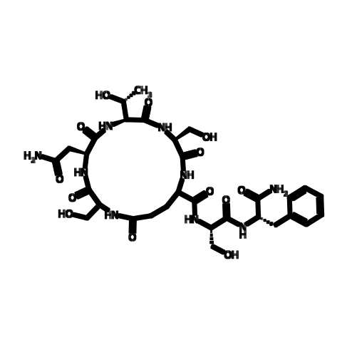 C[C@@H](O)[C@@H]1NC(=O)[C@H](CC(N)=O)NC(=O)C(CO)NC(=O)CCC(C(=O)N[C@@H](CO)C(=O)N[C@@H](Cc2ccccc2)C(N)=O)NC(=O)[C@H](CO)NC1=O